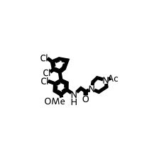 COc1cc(Cl)c(-c2cccc(Cl)c2Cl)cc1NCC(=O)N1CCN(C(C)=O)CC1